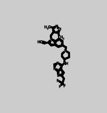 C#Cc1cc2cc(CN3CCC(Nc4ncnc5sc(CC(F)(F)F)cc45)CC3)ccc2n1Cc1c(C)noc1C